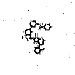 O=C(Nc1cncc(-c2ccc3[nH]nc(-c4cc5c(-c6ccccc6F)ccnc5[nH]4)c3c2)c1)c1ccccc1